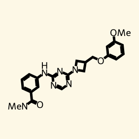 CNC(=O)c1cccc(Nc2ncnc(N3CC(COc4cccc(OC)c4)C3)n2)c1